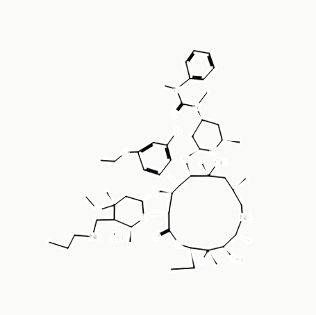 CCCNC[C@]1(O)[C@H](C)O[C@@H](O[C@H]2[C@H](C)[C@@H](O[C@@H]3O[C@H](C)C[C@H](N(C)C(=O)N(C)c4ccccc4)[C@H]3Oc3cccc(OCC)c3)[C@](C)(O)C[C@@H](C)CN[C@H](C)[C@@H](O)[C@](C)(O)[C@@H](CC)OC(=O)[C@@H]2C)C[C@@]1(C)OC